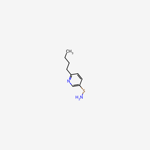 CCCCc1ccc(SN)cn1